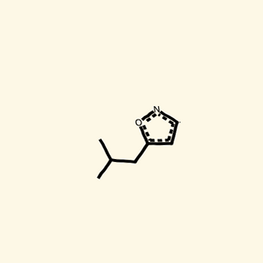 CC(C)Cc1c[c]no1